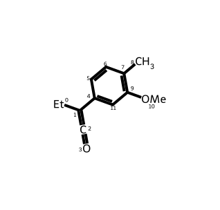 CCC(=C=O)c1ccc(C)c(OC)c1